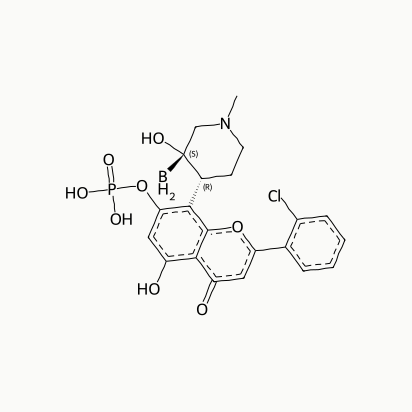 B[C@@]1(O)CN(C)CC[C@@H]1c1c(OP(=O)(O)O)cc(O)c2c(=O)cc(-c3ccccc3Cl)oc12